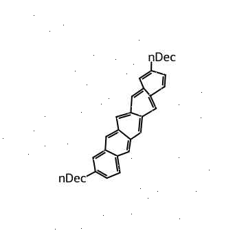 CCCCCCCCCCc1ccc2cc3cc4cc5ccc(CCCCCCCCCC)cc5cc4cc3cc2c1